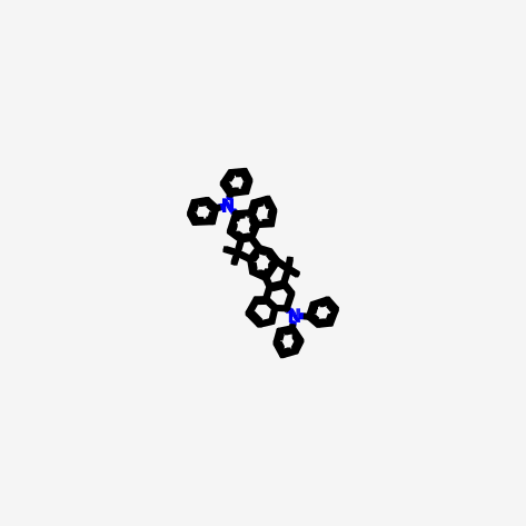 CC1(C)C2=C(C3=CC=CCC3C(N(c3ccccc3)c3ccccc3)C2)c2cc3c(cc21)-c1c(cc(N(c2ccccc2)c2ccccc2)c2ccccc12)C3(C)C